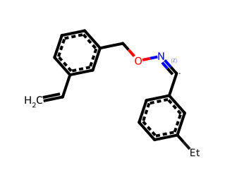 C=Cc1cccc(CO/N=[C]\c2cccc(CC)c2)c1